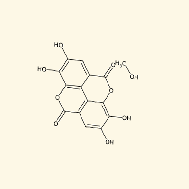 CO.O=c1oc2c(O)c(O)cc3c(=O)oc4c(O)c(O)cc1c4c23